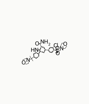 CC(C)(c1ccc2c(c1)[nH]c1c(C(N)=O)cc(-c3ccc(S(=O)(=O)CN4CCOCC4)c(Cl)c3)cc12)N1CCOCC1